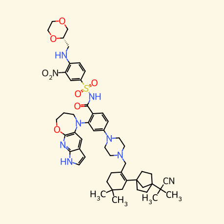 CC1(C)CCC(CN2CCN(c3ccc(C(=O)NS(=O)(=O)c4ccc(NC[C@H]5COCCO5)c([N+](=O)[O-])c4)c(N4CCCOc5nc6[nH]ccc6cc54)c3)CC2)=C(C23CCC(C(C)(C)C#N)(CC2)C3)C1